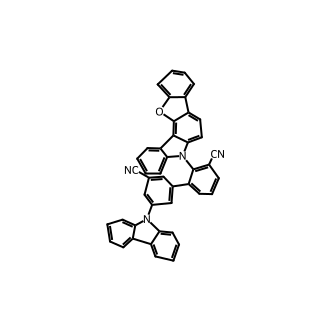 N#Cc1cc(-c2cccc(C#N)c2-n2c3ccccc3c3c4oc5ccccc5c4ccc32)cc(-n2c3ccccc3c3ccccc32)c1